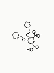 O=C(O)c1cc(OCc2ccccc2)c(OCc2ccccc2)c([N+](=O)[O-])c1